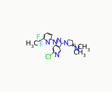 CN(C)[C@@H]1CCN(c2nn(-c3cccc(C(C)(F)F)n3)c3cc(Cl)ncc23)C1